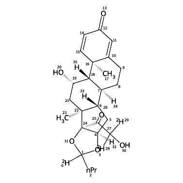 [2H]C1(CCC)O[C@@H]2C[C@H]3[C@@H]4CCC5=CC(=O)C=C[C@]5(C)[C@H]4[C@@H](O)C[C@]3(C)[C@]2(C(=O)C([2H])([2H])O)O1